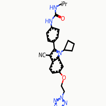 CC(C)NC(=O)Nc1ccc(-c2c(C#N)c3ccc(OCCn4ncnn4)cc3n2C2CCC2)cc1